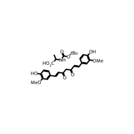 CC(NC(=O)OC(C)(C)C)C(=O)O.COc1cc(/C=C/C(=O)CC(=O)/C=C/c2ccc(O)c(OC)c2)ccc1O